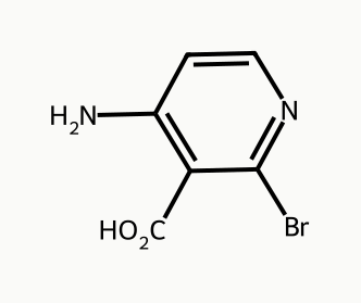 Nc1ccnc(Br)c1C(=O)O